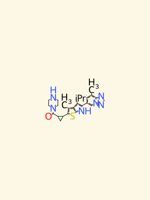 Cc1c(C2CC2C(=O)N2CCNCC2)sc2[nH]c(-c3cc(C)c4ncnn4c3)c(C(C)C)c12